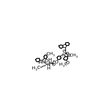 CCCC[C@H](NNC(=O)COc1ccc(CN(C(=O)OCC2c3ccccc3-c3ccccc32)c2ccc(OC)cc2OC)cc1)C(=O)NC(c1ccccc1)c1ccc(C)cc1